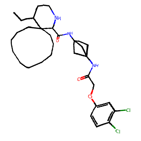 CCC1CCNC(C(=O)NC23CC(NC(=O)COc4ccc(Cl)c(Cl)c4)(C2)C3)C12CCCCCCCCCC2